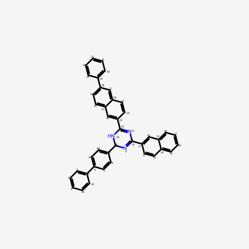 c1ccc(-c2ccc(C3N=C(c4ccc5ccccc5c4)N=C(c4ccc5cc(-c6ccccc6)ccc5c4)N3)cc2)cc1